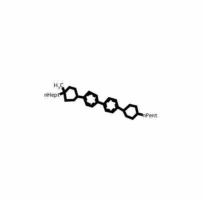 CCCCCCCC1(C)CCC(c2ccc(-c3ccc(C4CCC(CCCCC)CC4)cc3)cc2)CC1